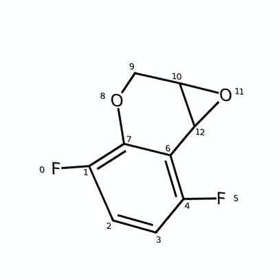 Fc1ccc(F)c2c1OCC1OC21